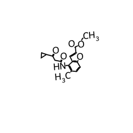 CCOC(=O)c1cc2c(NC(=O)CC(=O)C3CC3)c(C)ccc2o1